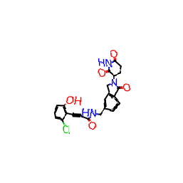 O=C(C#Cc1c(O)cccc1Cl)NCc1ccc2c(c1)CN(C1CCC(=O)NC1=O)C2=O